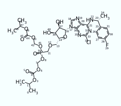 CC(C)OC(=O)OCOP(=O)(COC[C@H]1O[C@@H](n2cnc3c(N[C@H](C)c4ccc(F)cc4)nc(Cl)nc32)[C@H](O)[C@@H]1O)OCOC(=O)OC(C)C